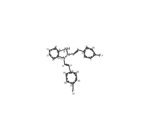 Fc1ccc(C=CN2Nc3ccccc3N2C=Cc2ccc(F)cc2)cc1